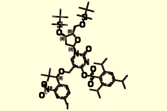 CC(C)c1cc(C(C)C)c(S(=O)(=O)Oc2nc(=O)n([C@H]3C[C@@H](O[Si](C)(C)C(C)(C)C)[C@@H](CO[Si](C)(C)C(C)(C)C)O3)cc2CO[C@@H](c2ccc(I)cc2[N+](=O)[O-])C(C)(C)C)c(C(C)C)c1